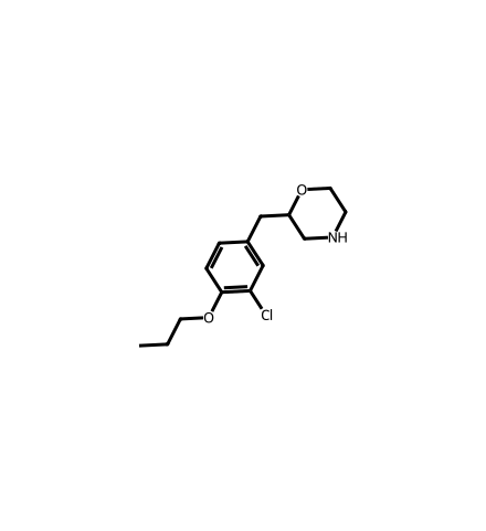 CCCOc1ccc(CC2CNCCO2)cc1Cl